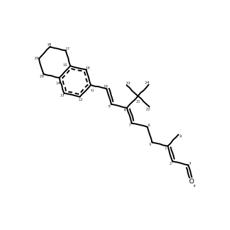 C/C(=C\C=O)CC/C=C(/C=C/c1ccc2c(c1)CCCC2)C(C)(C)C